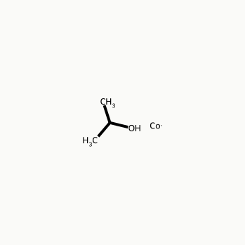 CC(C)O.[Co]